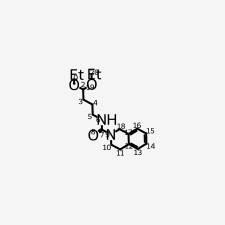 CCOC(CCCNC(=O)N1CCc2ccccc2C1)OCC